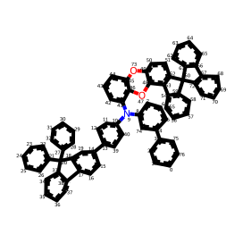 c1ccc(-c2cccc(N(c3ccc(-c4ccc5c(c4)C(c4ccccc4)(c4ccccc4)c4ccccc4-5)cc3)c3cccc4c3Oc3c(ccc5c3-c3ccccc3C53c5ccccc5-c5ccccc53)O4)c2)cc1